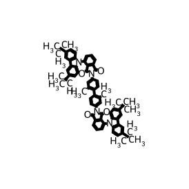 Cc1cc(N2C(=O)c3cccc(-n4c5ccc(C(C)(C)C)cc5c5cc(C(C)(C)C)ccc54)c3C2=O)ccc1-c1ccc(N2C(=O)c3cccc(-n4c5ccc(C(C)(C)C)cc5c5cc(C(C)(C)C)ccc54)c3C2=O)cc1C